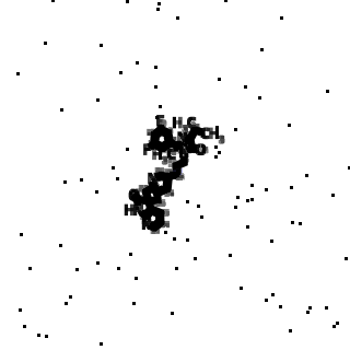 CC(C)C1=N[C@@](C)(c2cc(F)cc(F)c2)N(C/C=C/c2cnc3c(c2)CC2(C3)C(=O)Nc3ncccc32)C1=O